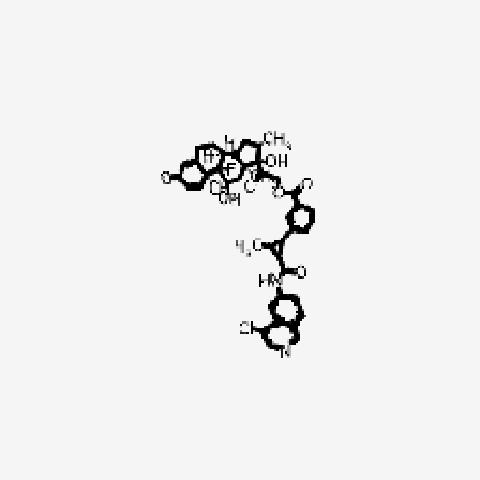 CC1C(C(=O)Nc2ccc3cncc(Cl)c3c2)C1c1cccc(C(=O)OCC(=O)[C@@]2(O)[C@H](C)C[C@H]3[C@@H]4CCC5=CC(=O)C=C[C@]5(C)[C@@]4(F)[C@@H](O)C[C@@]32C)c1